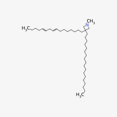 CCCC/C=C/C/C=C/CCCCCCCC1(CCCCCCCCCCCCCCCCCC)CN(C)C1